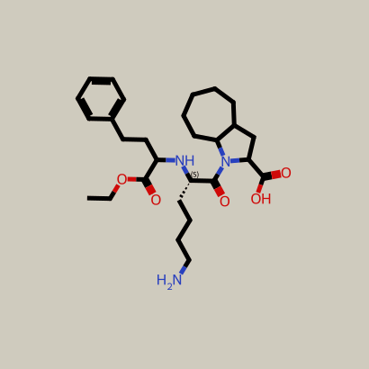 CCOC(=O)C(CCc1ccccc1)N[C@@H](CCCCN)C(=O)N1C(C(=O)O)CC2CCCCCC21